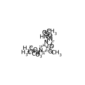 COC(=O)C1(c2ccnc(NS(C)(=O)=O)n2)CCN(C(=O)OC(C)(C)C)CC1